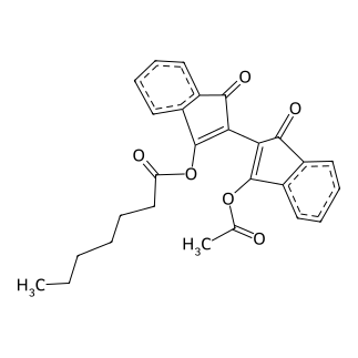 CCCCCCC(=O)OC1=C(C2=C(OC(C)=O)c3ccccc3C2=O)C(=O)c2ccccc21